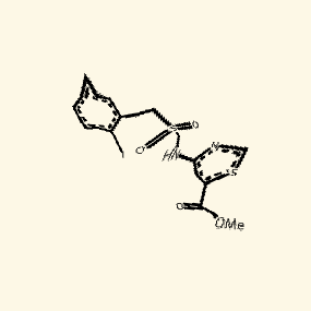 COC(=O)c1scnc1NS(=O)(=O)Cc1ccccc1I